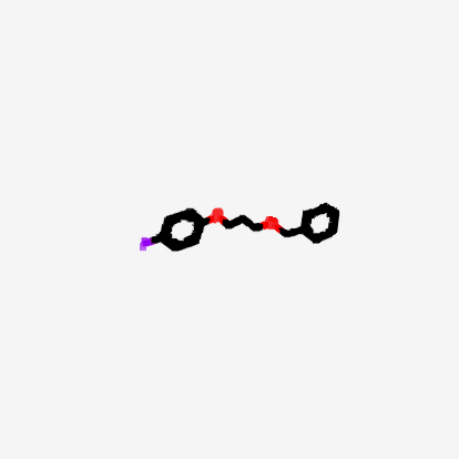 Ic1ccc(OCCCOCc2ccccc2)cc1